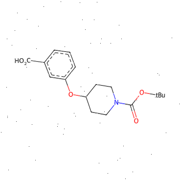 CC(C)(C)OC(=O)N1CCC(Oc2cccc(C(=O)O)c2)CC1